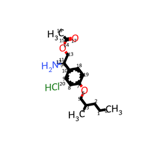 CCCC(C)COc1ccc([C@@H](N)COC(C)=O)cc1.Cl